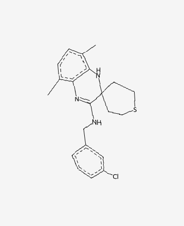 Cc1ccc(C)c2c1N=C(NCc1cccc(Cl)c1)C1(CCSCC1)N2